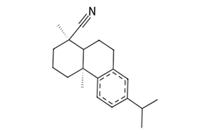 CC(C)c1ccc2c(c1)CCC1[C@](C)(C#N)CCC[C@]21C